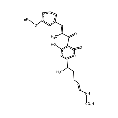 CCCOc1cccc(/C=C(\C)C(=O)c2c(O)cc(C(C)CCC=CNC(=O)O)oc2=O)c1